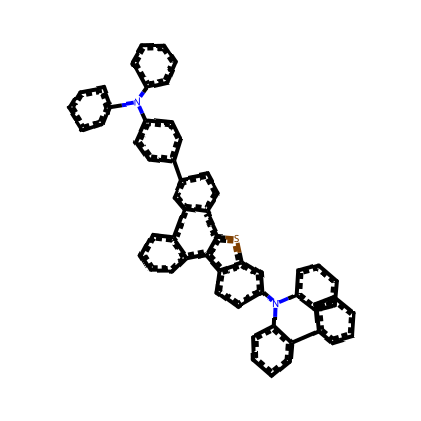 c1ccc(-c2ccccc2N(c2ccccc2)c2ccc3c(c2)sc2c4ccc(-c5ccc(N(c6ccccc6)c6ccccc6)cc5)cc4c4ccccc4c32)cc1